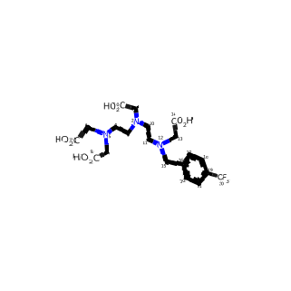 O=C(O)CN(CCN(CC(=O)O)CC(=O)O)CCN(CC(=O)O)Cc1ccc(C(F)(F)F)cc1